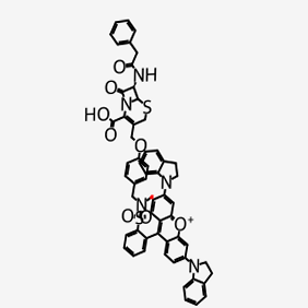 CN(Cc1ccc(OCC2=C(C(=O)O)N3C(=O)[C@@H](NC(=O)Cc4ccccc4)C3SC2)cc1)S(=O)(=O)c1ccccc1-c1c2ccc(N3CCc4ccccc43)cc2[o+]c2cc(N3CCc4ccccc43)ccc12